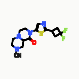 N#CN1CCN2CCN(c3cnc(C4CC(F)(F)C4)s3)C(=O)C2C1